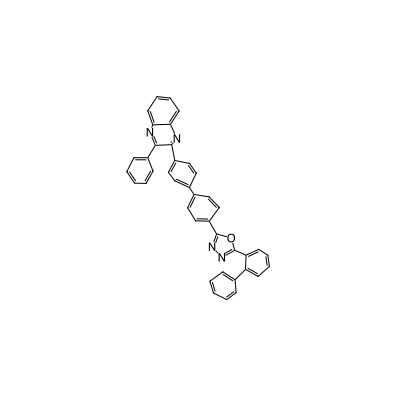 c1ccc(-c2ccccc2-c2nnc(-c3ccc(-c4ccc(-c5nc6ccccc6nc5-c5ccccc5)cc4)cc3)o2)cc1